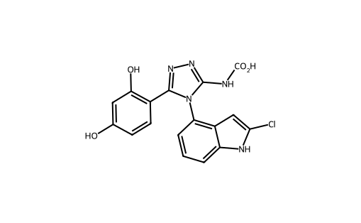 O=C(O)Nc1nnc(-c2ccc(O)cc2O)n1-c1cccc2[nH]c(Cl)cc12